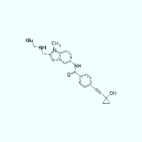 Cn1c(CNCC(C)(C)C)cc2cc(NC(=O)c3ccc(C#CC4(O)CC4)cc3)ccc21